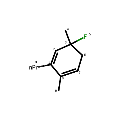 CCCC1=CC(C)(F)CC=C1C